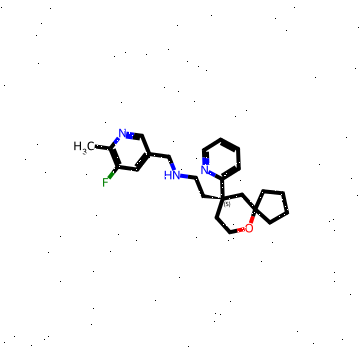 Cc1ncc(CNCC[C@]2(c3ccccn3)CCOC3(CCCC3)C2)cc1F